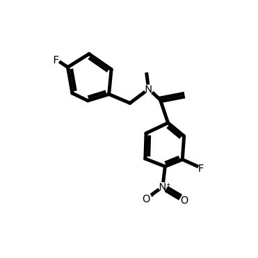 C=C(c1ccc([N+](=O)[O-])c(F)c1)N(C)Cc1ccc(F)cc1